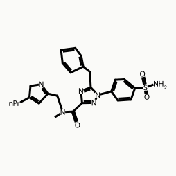 CCCC1=CC(CN(C)C(=O)c2nc(Cc3ccccc3)n(-c3ccc(S(N)(=O)=O)cc3)n2)=NC1